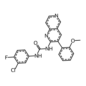 COc1ccccc1-c1cc2cnccc2nc1NC(=O)Nc1ccc(F)c(Cl)c1